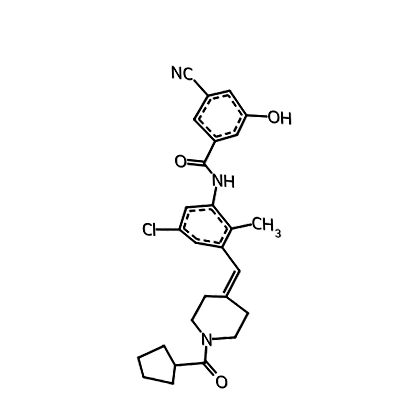 Cc1c(C=C2CCN(C(=O)C3CCCC3)CC2)cc(Cl)cc1NC(=O)c1cc(O)cc(C#N)c1